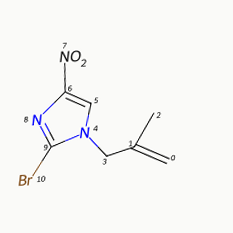 C=C(C)Cn1cc([N+](=O)[O-])nc1Br